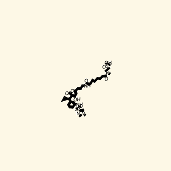 CN(CCS(=O)(=O)O)C(=O)CCCCCCC(=O)NCCCc1cc(O)c(C(c2cccc(NS(=O)(=O)c3cn(C)cn3)c2)C2CC2)c(=O)o1